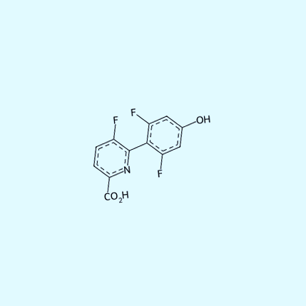 O=C(O)c1ccc(F)c(-c2c(F)cc(O)cc2F)n1